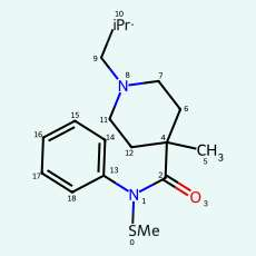 CSN(C(=O)C1(C)CCN(C[C](C)C)CC1)c1ccccc1